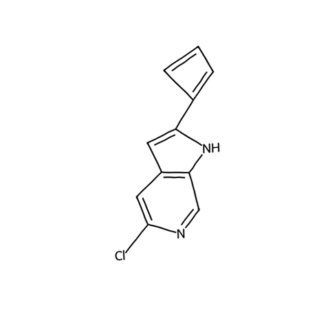 Clc1cc2cc(C3=CC=C3)[nH]c2cn1